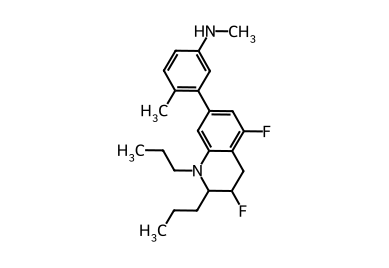 CCCC1C(F)Cc2c(F)cc(-c3cc(NC)ccc3C)cc2N1CCC